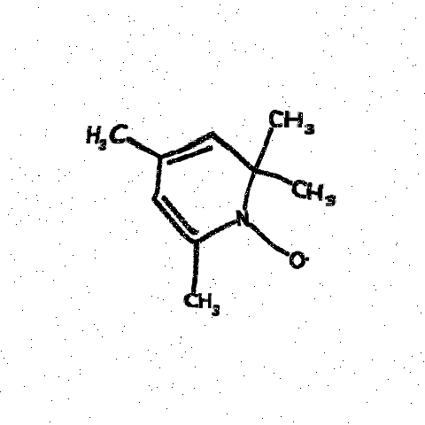 CC1=CC(C)(C)N([O])C(C)=C1